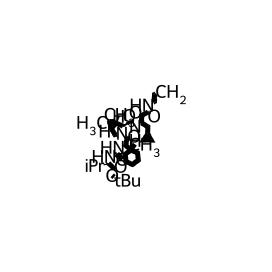 C=CCNC(=O)C(=O)C(CC1CC1)NC(=O)[C@@H]1[C@@H]2[C@H](CN1C(=O)[C@@H](NC(=O)N[C@H](C(=O)OC(C)(C)C)C(C)C)C1(C)CCCCC1)C2(C)C